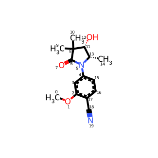 COc1cc(N2C(=O)C(C)(C)[C@H](O)[C@@H]2C)ccc1C#N